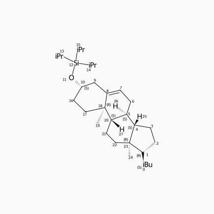 CC[C@H](C)[C@H]1CC[C@H]2[C@@H]3CC=C4C[C@@H](O[Si](C(C)C)(C(C)C)C(C)C)CC[C@]4(C)[C@H]3CC[C@]12C